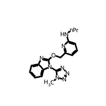 CCCNc1cccc(COc2nc3ccccc3n2-c2nnnn2C)n1